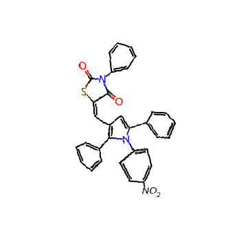 O=C1SC(=Cc2cc(-c3ccccc3)n(-c3ccc([N+](=O)[O-])cc3)c2-c2ccccc2)C(=O)N1c1ccccc1